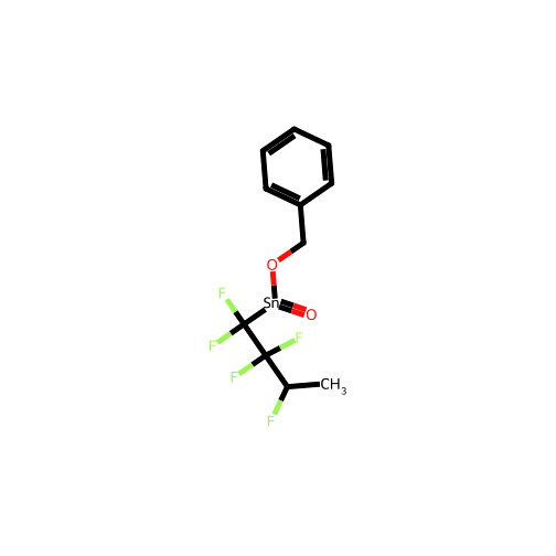 CC(F)C(F)(F)[C](F)(F)[Sn](=[O])[O]Cc1ccccc1